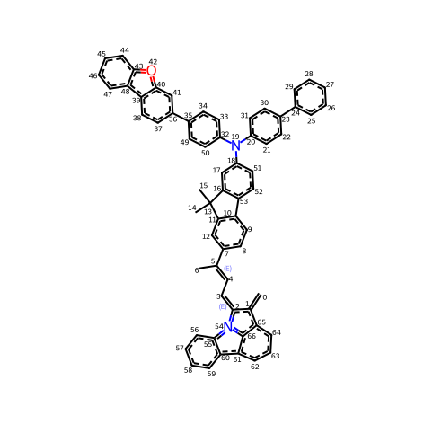 C=c1/c(=C\C=C(/C)c2ccc3c(c2)C(C)(C)c2cc(N(c4ccc(-c5ccccc5)cc4)c4ccc(-c5ccc6c(c5)oc5ccccc56)cc4)ccc2-3)n2c3ccccc3c3cccc1c32